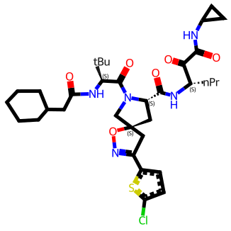 CCC[C@H](NC(=O)[C@@H]1C[C@]2(CC(c3ccc(Cl)s3)=NO2)CN1C(=O)[C@@H](NC(=O)CC1CCCCC1)C(C)(C)C)C(=O)C(=O)NC1CC1